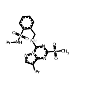 CC(C)NS(=O)(=O)c1ccccc1CNc1nc(S(C)(=O)=O)nc2c(C(C)C)cnn12